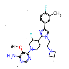 Cc1cc(-c2cn(CCN3CCC3)c(C3CCN(c4ncnc(N)c4OC(C)C)CC3F)n2)ccc1F